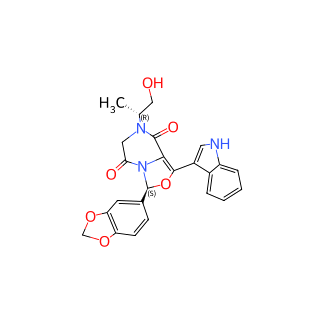 C[C@H](CO)N1CC(=O)N2C(=C(c3c[nH]c4ccccc34)O[C@H]2c2ccc3c(c2)OCO3)C1=O